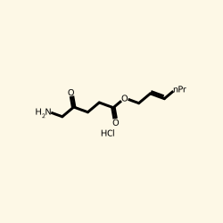 CCC/C=C/COC(=O)CCC(=O)CN.Cl